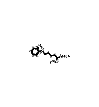 CCCCCCC(CCCC)CCCCn1nnc2ccccc21